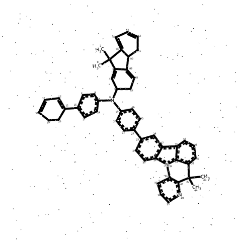 CC1(C)C2=CC(N(c3ccc(C4=CC=CCC4)cc3)c3ccc(-c4ccc5c(c4)c4cccc6c4n5-c4cccnc4C6(C)C)cc3)CC=C2C2CC=CC=C21